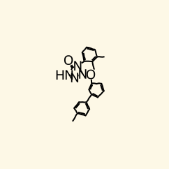 Cc1ccc(-c2cccc(OCc3c(C)cccc3-n3nn[nH]c3=O)c2)cc1